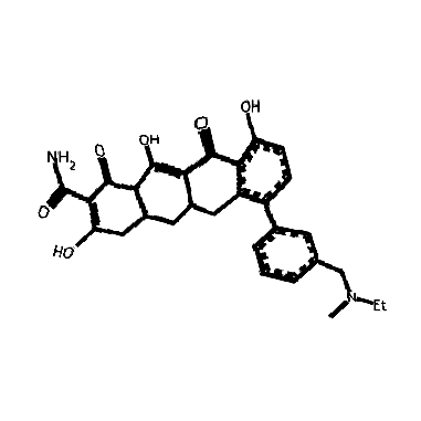 CCN(C)Cc1cccc(-c2ccc(O)c3c2CC2CC4CC(O)=C(C(N)=O)C(=O)C4C(O)=C2C3=O)c1